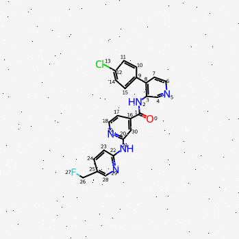 O=C(Nc1cnccc1-c1ccc(Cl)cc1)c1ccnc(Nc2ccc(CF)cn2)c1